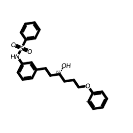 O=S(=O)(Nc1cccc(CC[C@H](O)CCCOc2[c]cccc2)c1)c1ccccc1